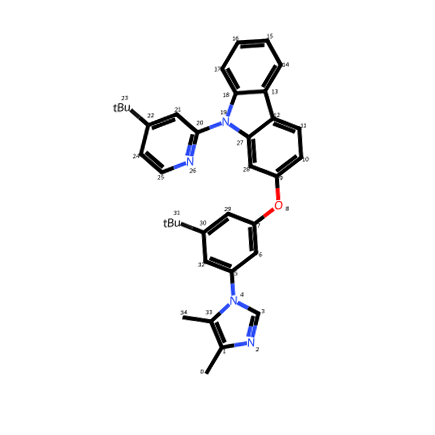 Cc1ncn(-c2cc(Oc3ccc4c5ccccc5n(-c5cc(C(C)(C)C)ccn5)c4c3)cc(C(C)(C)C)c2)c1C